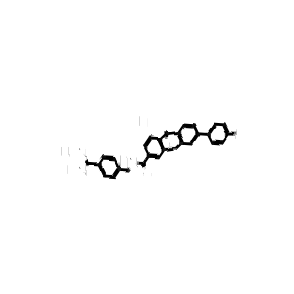 CC12OC(c3cc(C(=O)NCc4ccc(C(=N)N)cc4)ccc31)c1cc(-c3ccc(F)cc3)ccc12